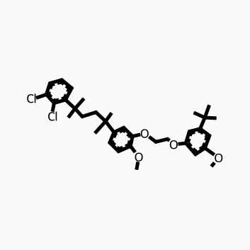 COc1cc(OCCOc2cc(C(C)(C)CCC(C)(C)c3cccc(Cl)c3Cl)ccc2OC)cc(C(C)(C)C)c1